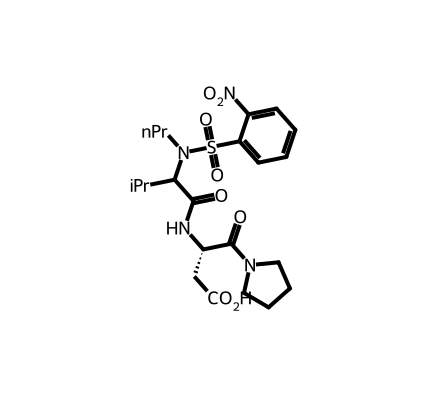 CCCN(C(C(=O)N[C@@H](CC(=O)O)C(=O)N1CCCC1)C(C)C)S(=O)(=O)c1ccccc1[N+](=O)[O-]